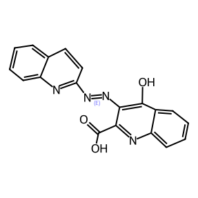 O=C(O)c1nc2ccccc2c(O)c1/N=N/c1ccc2ccccc2n1